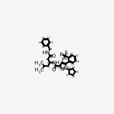 CC(C)CC(CC(=O)NCc1ccccc1)NC(=O)c1cc(-c2ccccc2C(F)(F)F)n(C2CCCC2)n1